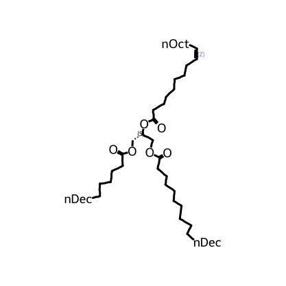 CCCCCCCC/C=C\CCCCCCCC(=O)O[C@@H](COC(=O)CCCCCCCCCCCCCCC)COC(=O)CCCCCCCCCCCCCCCCCCC